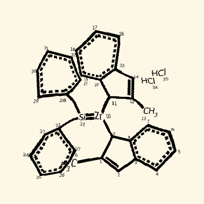 CC1=Cc2ccccc2[CH]1[Zr]([CH]1C(C)=Cc2ccccc21)=[Si](c1ccccc1)c1ccccc1.Cl.Cl